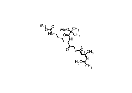 C=C(C)/N=C(C)\C=C(/C)SCC(=O)[C@H](CCCCNC(=O)OC(C)(C)C)NC(=O)C(C)(C)OC